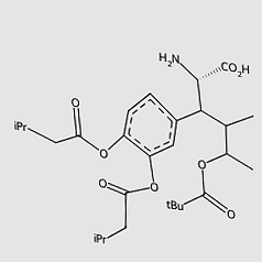 CC(C)CC(=O)Oc1ccc(C(C(C)C(C)OC(=O)C(C)(C)C)[C@H](N)C(=O)O)cc1OC(=O)CC(C)C